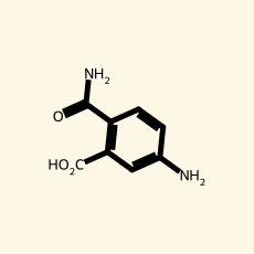 NC(=O)c1ccc(N)cc1C(=O)O